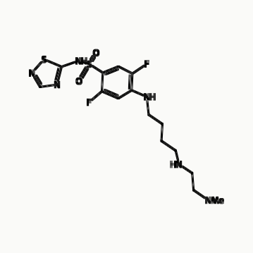 CNCCNCCCCNc1cc(F)c(S(=O)(=O)Nc2ncns2)cc1F